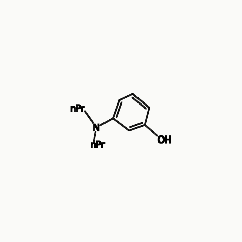 CCCN(CCC)c1cccc(O)c1